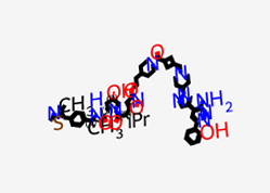 Cc1ncsc1-c1ccc([C@H](C)NC(=O)[C@@H]2C[C@@H](O)CN2C(=O)[C@@H](c2cc(OCCC3CCN(C(=O)C4CC(CN5CCC(n6cc(-c7cc(-c8ccccc8O)nnc7N)cn6)CC5)C4)CC3)no2)C(C)C)cc1